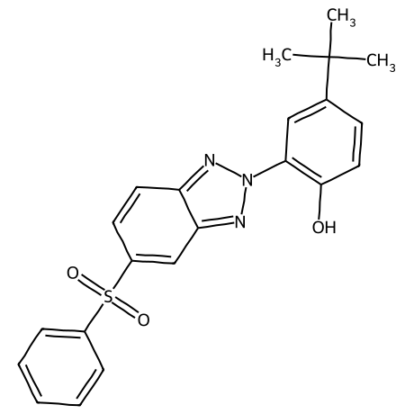 CC(C)(C)c1ccc(O)c(-n2nc3ccc(S(=O)(=O)c4ccccc4)cc3n2)c1